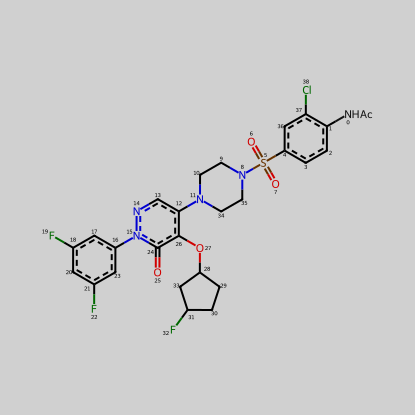 CC(=O)Nc1ccc(S(=O)(=O)N2CCN(c3cnn(-c4cc(F)cc(F)c4)c(=O)c3OC3CCC(F)C3)CC2)cc1Cl